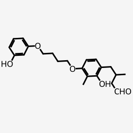 Cc1c(OCCCCOc2cccc(O)c2)ccc(CC(C)CC=O)c1O